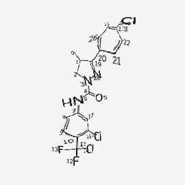 CC1CN(C(=O)Nc2ccc(C(F)(F)Cl)c(Cl)c2)N=C1c1ccc(Cl)cc1